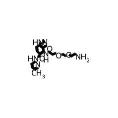 Cc1ccc(NC(=O)c2ccc3[nH]ncc3c2NC(=O)CCOCCOCCN)nc1